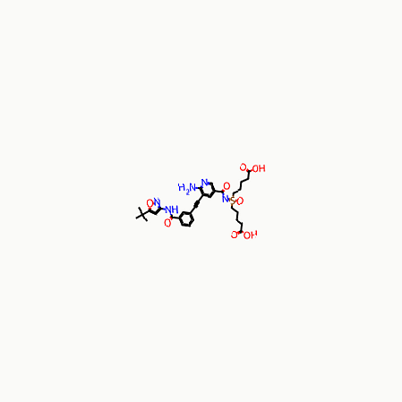 CC(C)(C)c1cc(NC(=O)c2cccc(C#Cc3cc(C(=O)N=S(=O)(CCCCC(=O)O)CCCCC(=O)O)cnc3N)c2)no1